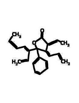 C=C/C=C1\C(=C/C)C(=O)OC1(/C(C=C)=C/C=C\C)c1ccccc1